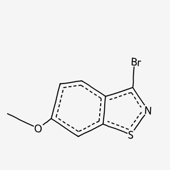 COc1ccc2c(Br)nsc2c1